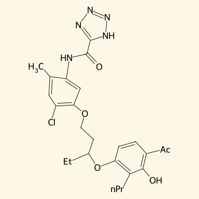 CCCc1c(OC(CC)CCOc2cc(NC(=O)c3nnn[nH]3)c(C)cc2Cl)ccc(C(C)=O)c1O